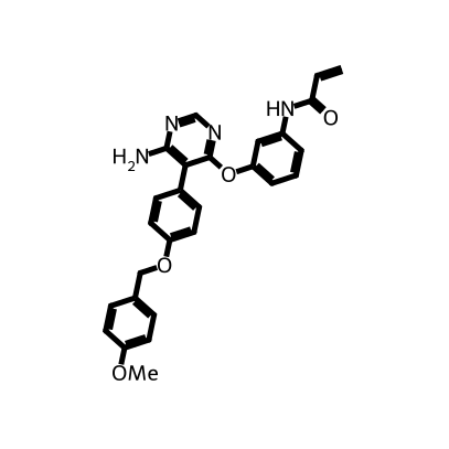 C=CC(=O)Nc1cccc(Oc2ncnc(N)c2-c2ccc(OCc3ccc(OC)cc3)cc2)c1